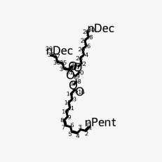 CCCCC/C=C\C/C=C\C/C=C\CCCCCCC(=O)OC[C@@H](COCCCCCCCCCCCCCCCCCC)OC(=O)CCCCCCCCCCCCCCC